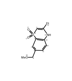 CCC1=CS(=O)(=O)c2cc(COC)ccc2N1